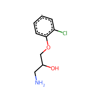 NCC(O)COc1cc[c]cc1Cl